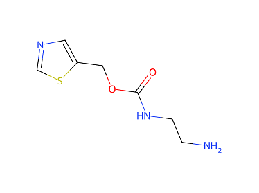 NCCNC(=O)OCc1cncs1